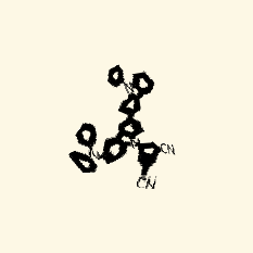 N#Cc1cc(C#N)cc(-n2c3ccc(-c4ccc5c(c4)c4ccccc4n5-c4ccccc4)cc3c3cc(N(c4ccccc4)c4ccccc4)ccc32)c1